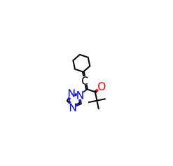 CC(C)(C)C(=O)C(=C=C1CCCCC1)n1cncn1